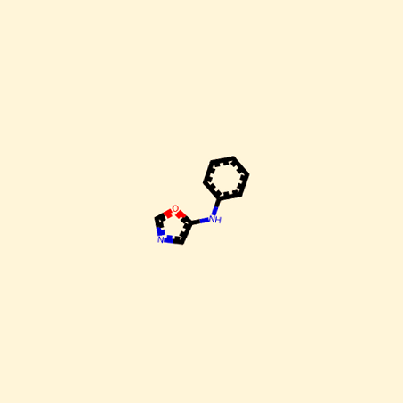 c1ccc(Nc2cnco2)cc1